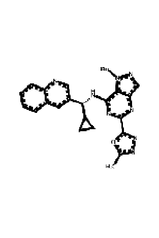 CCC(C)n1ncc2nc(-c3nnc(C)o3)nc(N[C@@H](c3cnc4ccccc4c3)C3CC3)c21